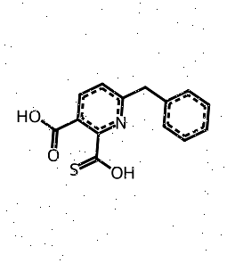 O=C(O)c1ccc(Cc2ccccc2)nc1C(O)=S